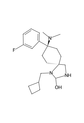 CN(C)[C@]1(c2cccc(F)c2)CC[C@]2(CC1)CNC(O)N2CC1CCC1